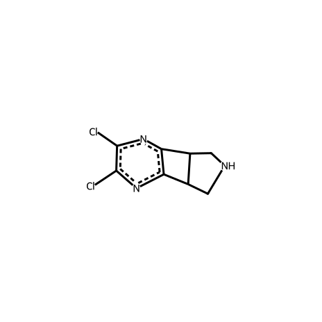 Clc1nc2c(nc1Cl)C1CNCC21